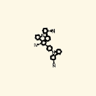 N#Cc1ccc2c(c1)c1ccccc1n2-c1ccc(-c2ccc(-c3ccccc3-n3c4ccccc4c4c(C#N)cccc43)c(C#N)c2)cc1